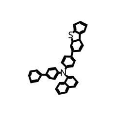 C1=CC2c3ccccc3SC2C=C1c1ccc(N(c2ccc(-c3ccccc3)cc2)c2cccc3ccccc23)cc1